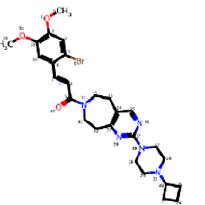 COc1cc(Br)c(/C=C/C(=O)N2CCc3cnc(N4CCN(C5CCC5)CC4)nc3CC2)cc1OC